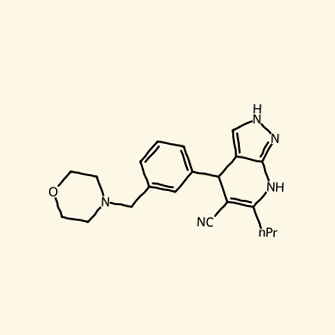 CCCC1=C(C#N)C(c2cccc(CN3CCOCC3)c2)c2c[nH]nc2N1